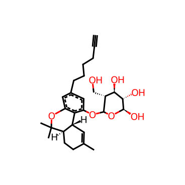 C#CCCCCc1cc(OC2O[C@H](O)[C@@H](O)[C@H](O)[C@H]2CO)c2c(c1)OC(C)(C)[C@@H]1CCC(C)=C[C@@H]21